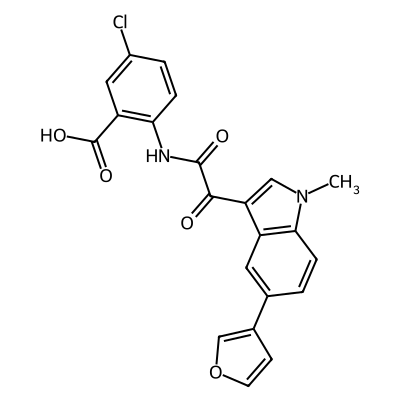 Cn1cc(C(=O)C(=O)Nc2ccc(Cl)cc2C(=O)O)c2cc(-c3ccoc3)ccc21